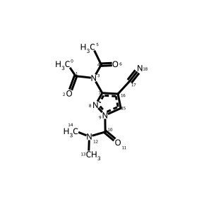 CC(=O)N(C(C)=O)c1nn(C(=O)N(C)C)cc1C#N